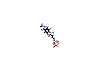 Cc1c(C)c(C(=O)NC(C)C)c(C)c(C)c1NC(=O)CCCCNS(=O)(=O)C(C)C